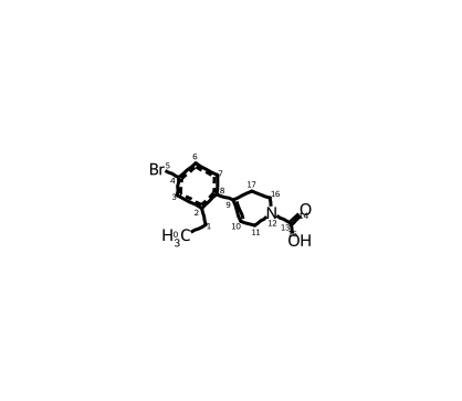 CCc1cc(Br)ccc1C1=CCN(C(=O)O)CC1